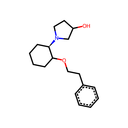 OC1CCN([C@@H]2CCCCC2OCCc2ccccc2)C1